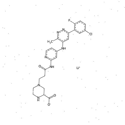 Cc1nnc(-c2cc(Cl)ccc2F)cc1Nc1ccnc(NC(=O)CCN2CCNC(C(=O)[O-])C2)c1.[Li+]